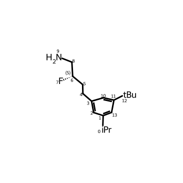 CC(C)c1cc(CC[C@H](F)CN)cc(C(C)(C)C)c1